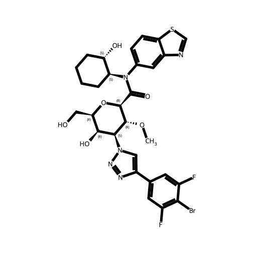 CO[C@@H]1[C@@H](n2cc(-c3cc(F)c(Br)c(F)c3)nn2)[C@@H](O)[C@@H](CO)O[C@H]1C(=O)N(c1ccc2scnc2c1)[C@H]1CCCC[C@@H]1O